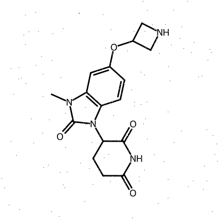 Cn1c(=O)n(C2CCC(=O)NC2=O)c2ccc(OC3CNC3)cc21